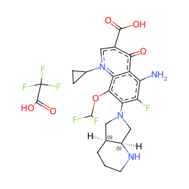 Nc1c(F)c(N2C[C@@H]3CCCN[C@@H]3C2)c(OC(F)F)c2c1c(=O)c(C(=O)O)cn2C1CC1.O=C(O)C(F)(F)F